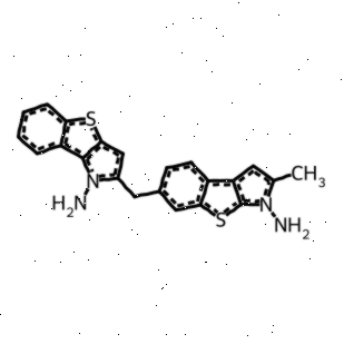 Cc1cc2c3ccc(Cc4cc5sc6ccccc6c5n4N)cc3sc2n1N